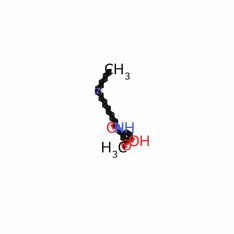 CCCCCC/C=C\CCCCCCCCCC(=O)NCc1ccc(O)c(OC)c1